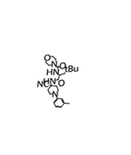 Cc1cccc(N2CCC(C#N)(NC(=O)C(CC(C)(C)C)NC(=O)N3CCOCC3)CC2)c1